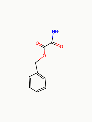 [NH]C(=O)C(=O)OCc1ccccc1